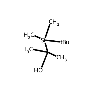 CC(C)(C)[Si](C)(C)C(C)(C)O